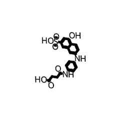 O=C(O)CCC(=O)Nc1ccc(Nc2ccc3c(O)cc(S(=O)(=O)O)cc3c2)cc1